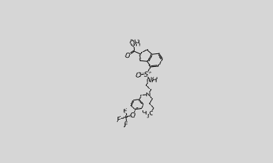 CCCCN(CCN[S+]([O-])c1cccc2c1CC(C(=O)O)C2)Cc1ccc(OC(F)(F)F)cc1